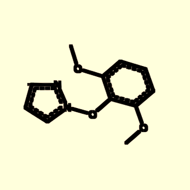 COc1cccc(OC)c1On1cc[c]n1